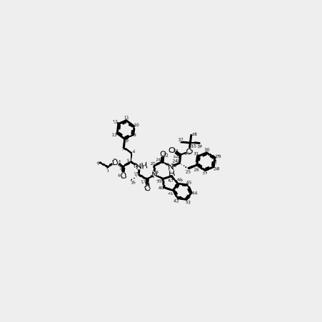 CCOC(=O)[C@@H](CCc1ccccc1)N[C@@H](C)C(=O)N(CC(=O)N[C@@H](Cc1ccccc1)C(=O)OC(C)(C)C)C1Cc2ccccc2C1